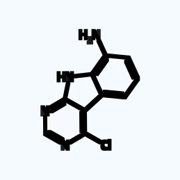 Nc1cccc2c1[nH]c1ncnc(Cl)c12